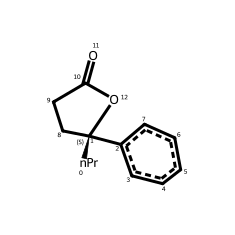 CCC[C@@]1(c2ccccc2)CCC(=O)O1